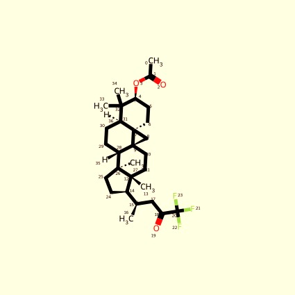 CC(=O)O[C@H]1CC[C@]23C[C@]24CC[C@]2(C)[C@@H]([C@H](C)CC(=O)C(F)(F)F)CC[C@@]2(C)[C@@H]4CC[C@H]3C1(C)C